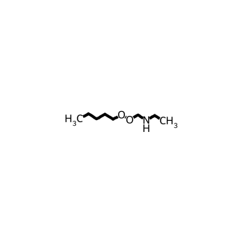 CCCCCOOCNCC